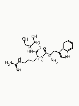 N=C(N)NCCC[C@H](NC(=O)[C@@H](N)Cc1c[nH]c2ccccc12)C(=O)N[C@@H](CO)C(=O)O